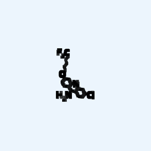 Nc1c2ccc(Cl)cc2nc2cc(OCCCCCC(F)(F)F)ccc12